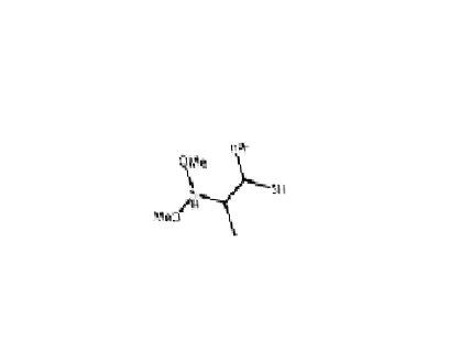 CCCC(S)C(C)[SiH](OC)OC